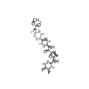 COC(=O)[C@@H]1C[C@]12CC[C@H](c1ccc(NC(=O)c3nnc(Nc4ccc(F)c(F)c4)o3)cn1)CC2